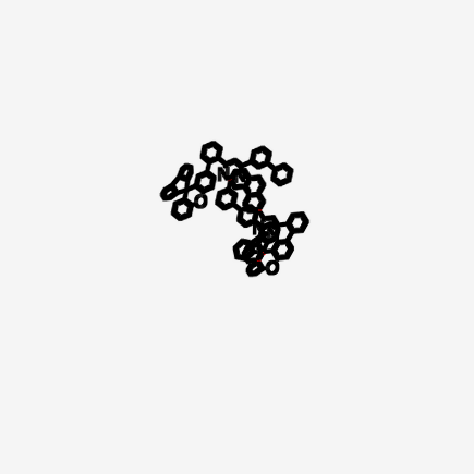 c1ccc(-c2cccc(-c3cc(-c4ccccc4-c4ccc5c(c4)C4(c6ccccc6O5)c5ccccc5-c5ccccc54)nc(-c4cccc(-c5ccc(-c6cccc7c6-c6ccccc6C76c7ccccc7Oc7ccc(-c8ccccc8-c8cc(-c9ccc%10c(ccc%11ccccc%11%10)c9)nc(-c9ccccc9)n8)cc76)cc5)c4)n3)c2)cc1